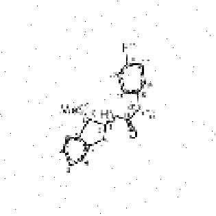 CS[C@H]1c2ccccc2C[C@@H]1NC(=O)[C@@H](C)c1ccc(F)cc1